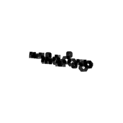 CN[C@@H](C)C(=O)NC1=CN=C(C2=CC(C)=C(CC(=O)N[C@@H]3CCCc4ccccc43)C(=O)C2)NC1